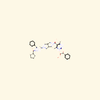 COC(=O)C(Oc1nc(C)c(C(=O)N2CC3CN(CC[C@H](NC(=O)C4CCCC4)c4ccccc4)CC3C2)c(C)n1)c1ccccc1